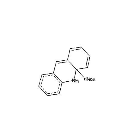 CCCCCCCCCC12C=CC=CC1=Cc1ccccc1N2